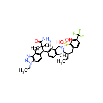 CCC1Cc2ccc(C(F)(F)F)cc2S(O)(O)N(Cc2cc(C(c3ccc4c(nnn4CC)c3C)C(C)(C)C(N)=O)ccc2C)C1